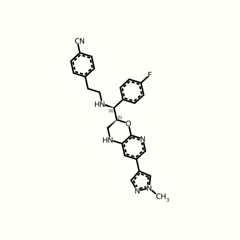 Cn1cc(-c2cnc3c(c2)NC[C@@H]([C@@H](NCCc2ccc(C#N)cc2)c2ccc(F)cc2)O3)cn1